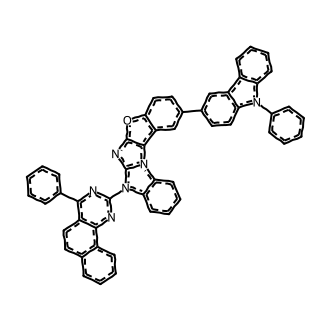 c1ccc(-c2nc(-n3c4ccccc4n4c5c(nc34)oc3ccc(-c4ccc6c(c4)c4ccccc4n6-c4ccccc4)cc35)nc3c2ccc2ccccc23)cc1